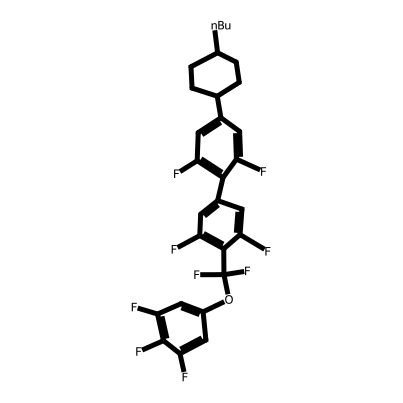 CCCCC1CCC(c2cc(F)c(-c3cc(F)c(C(F)(F)Oc4cc(F)c(F)c(F)c4)c(F)c3)c(F)c2)CC1